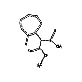 COC(=O)C(c1cccccc1=O)S(=O)O